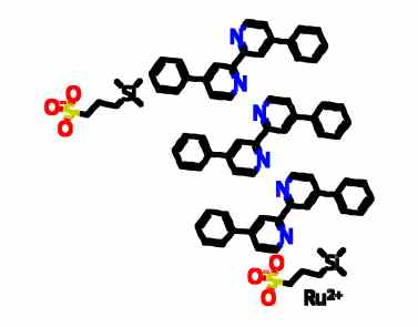 C[Si](C)(C)CCCS(=O)(=O)[O-].C[Si](C)(C)CCCS(=O)(=O)[O-].[Ru+2].c1ccc(-c2ccnc(-c3cc(-c4ccccc4)ccn3)c2)cc1.c1ccc(-c2ccnc(-c3cc(-c4ccccc4)ccn3)c2)cc1.c1ccc(-c2ccnc(-c3cc(-c4ccccc4)ccn3)c2)cc1